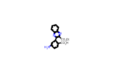 CCOC(=O)c1nc2ccccc2nc1-c1cc(N)ccc1C(=O)O